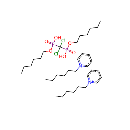 CCCCCCOP(=O)(O)C(Cl)(Cl)P(=O)(O)OCCCCCC.CCCCCC[n+]1ccccc1.CCCCCC[n+]1ccccc1